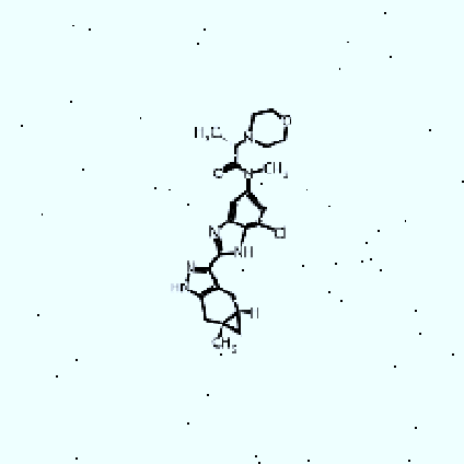 C[C@@H](C(=O)N(C)c1cc(Cl)c2[nH]c(-c3n[nH]c4c3C[C@@H]3C[C@]3(C)C4)nc2c1)N1CCOCC1